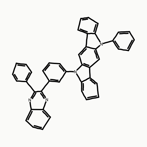 c1ccc(-c2nc3ccccc3nc2-c2cccc(-n3c4ccccc4c4cc5c(cc43)c3ccccc3n5-c3ccccc3)c2)cc1